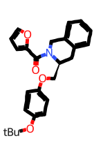 CC(C)(C)Oc1ccc(OC[C@@H]2Cc3ccccc3CN2C(=O)c2ccco2)cc1